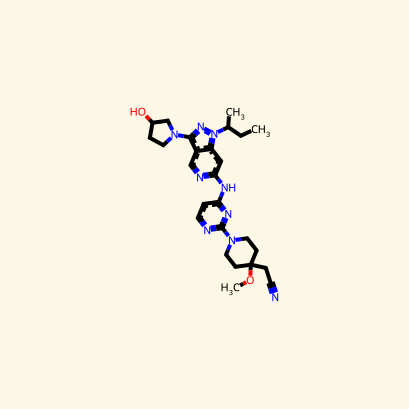 CCC(C)n1nc(N2CCC(O)C2)c2cnc(Nc3ccnc(N4CCC(CC#N)(OC)CC4)n3)cc21